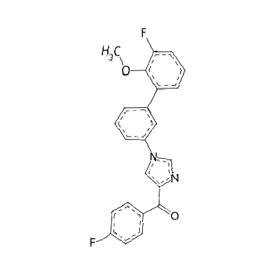 COc1c(F)cccc1-c1cccc(-n2cnc(C(=O)c3ccc(F)cc3)c2)c1